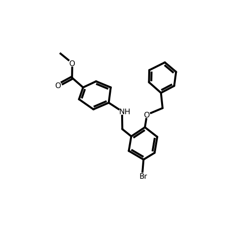 COC(=O)c1ccc(NCc2cc(Br)ccc2OCc2ccccc2)cc1